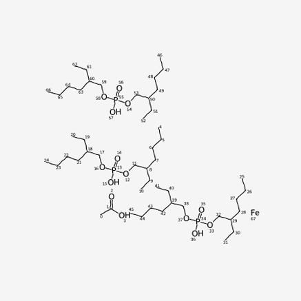 CC(=O)O.CCCCC(CC)COP(=O)(O)OCC(CC)CCCC.CCCCC(CC)COP(=O)(O)OCC(CC)CCCC.CCCCC(CC)COP(=O)(O)OCC(CC)CCCC.[Fe]